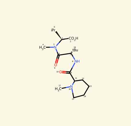 CC(C)[C@@H](C(=O)O)N(C)C(=O)[C@@H](NC(=O)C1CCCCN1C)C(C)(C)C